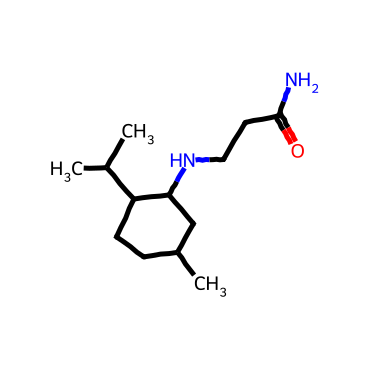 CC1CCC(C(C)C)C(NCCC(N)=O)C1